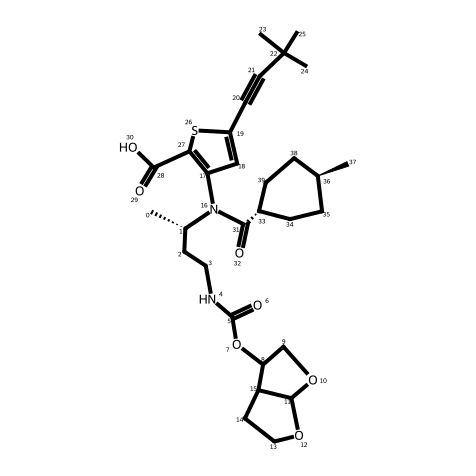 C[C@@H](CCNC(=O)OC1COC2OCCC12)N(c1cc(C#CC(C)(C)C)sc1C(=O)O)C(=O)[C@H]1CC[C@H](C)CC1